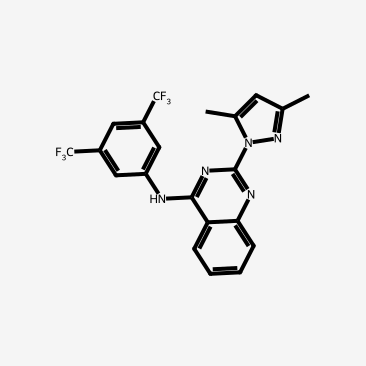 Cc1cc(C)n(-c2nc(Nc3cc(C(F)(F)F)cc(C(F)(F)F)c3)c3ccccc3n2)n1